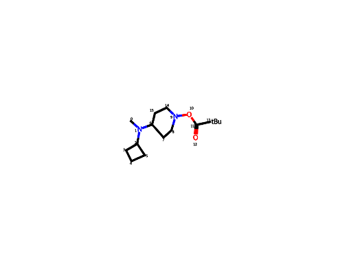 CN(C1CCC1)C1CCN(OC(=O)C(C)(C)C)CC1